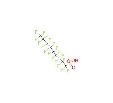 O=S(=O)(O)C(F)(F)C(F)(F)C(F)(F)C(F)(F)C(F)(F)C(F)(F)C(F)(F)C(F)(F)C(F)(F)F